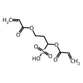 C=CC(=O)OCCC(OC(=O)C=C)S(=O)(=O)O